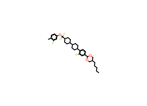 CCCCCC1COC(c2ccc(C3CCC(C4CCC(C(F)(F)Oc5ccc(C)c(F)c5)CC4)CC3)c(F)c2)OC1